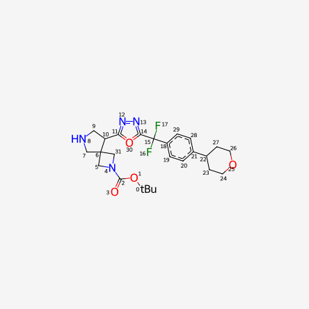 CC(C)(C)OC(=O)N1CC2(CNCC2c2nnc(C(F)(F)c3ccc(C4CCOCC4)cc3)o2)C1